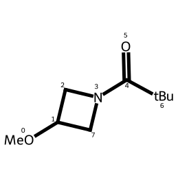 COC1CN(C(=O)C(C)(C)C)C1